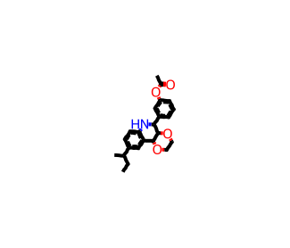 CCC(C)c1ccc2c(c1)C1OCCOC1C(c1cccc(OC(C)=O)c1)N2